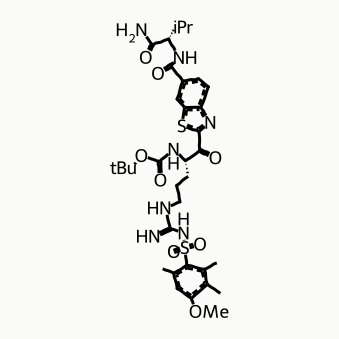 COc1cc(C)c(S(=O)(=O)NC(=N)NCCC[C@H](NC(=O)OC(C)(C)C)C(=O)c2nc3ccc(C(=O)N[C@H](C(N)=O)C(C)C)cc3s2)c(C)c1C